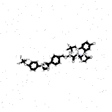 CC(F)(F)COc1ccc(Cl)cc1N1C(=O)CS/C1=N\C(=O)NOCc1ccc(-c2ncn(-c3ccc(OC(F)(F)F)cc3)n2)cc1